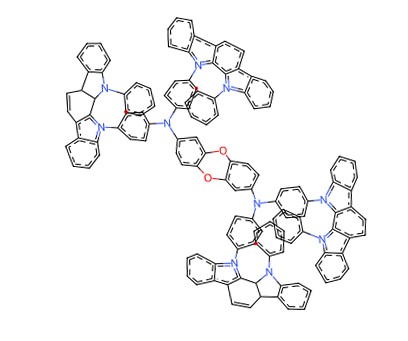 C1=CC2c3ccccc3N(c3ccccc3)C2c2c1c1ccccc1n2-c1ccc(N(c2ccc(-n3c4ccccc4c4ccc5c6ccccc6n(-c6ccccc6)c5c43)cc2)c2ccc3c(c2)Oc2ccc(N(c4ccc(-n5c6c(c7ccccc75)C=CC5c7ccccc7N(c7ccccc7)C65)cc4)c4ccc(-n5c6ccccc6c6ccc7c8ccccc8n(-c8ccccc8)c7c65)cc4)cc2O3)cc1